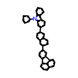 c1ccc(-n2c3ccccc3c3ccc(-c4ccc5cc(-c6ccc7c(c6)-c6cccc8cccc-7c68)ccc5c4)cc32)cc1